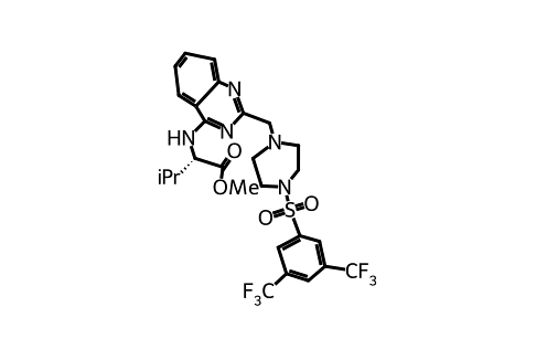 COC(=O)[C@@H](Nc1nc(CN2CCN(S(=O)(=O)c3cc(C(F)(F)F)cc(C(F)(F)F)c3)CC2)nc2ccccc12)C(C)C